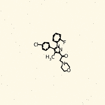 Cc1c(C(=O)CN2CCOCC2)nn(-c2ccccc2F)c1-c1ccc(Cl)cc1